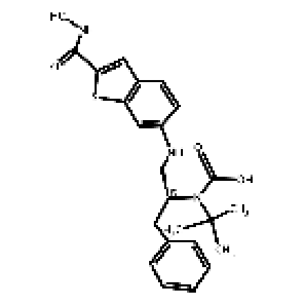 CC(C)(C)N(C(=O)O)[C@H](CNc1ccc2cc(C(=O)NO)sc2c1)Cc1ccccc1